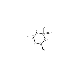 C[C@H]1C[C@H](C)OP(C)(=O)O1